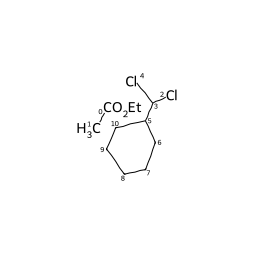 CCOC(C)=O.ClC(Cl)C1CCCCC1